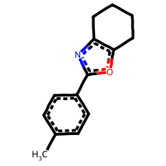 Cc1ccc(-c2nc3c(o2)CCCC3)cc1